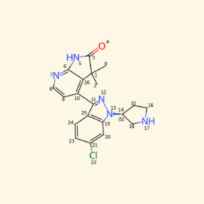 CC1(C)C(=O)Nc2nccc(-c3nn([C@H]4CCNC4)c4cc(Cl)ccc34)c21